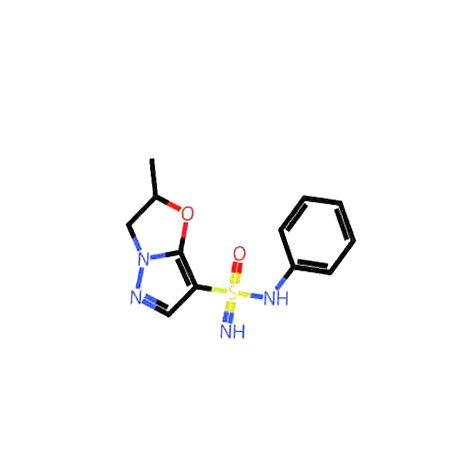 CC1Cn2ncc(S(=N)(=O)Nc3ccccc3)c2O1